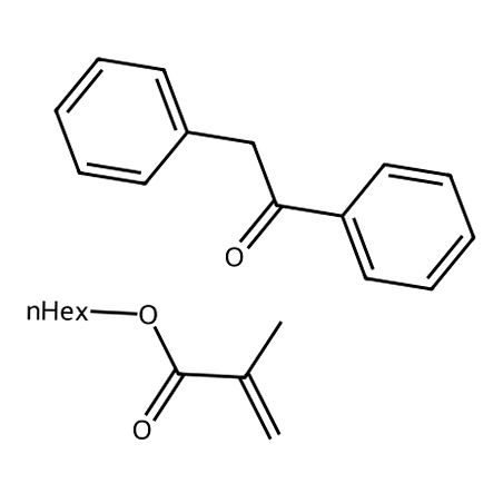 C=C(C)C(=O)OCCCCCC.O=C(Cc1ccccc1)c1ccccc1